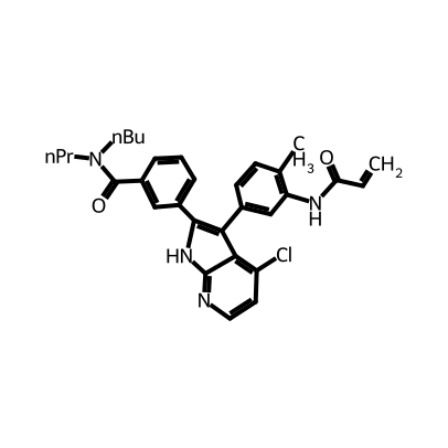 C=CC(=O)Nc1cc(-c2c(-c3cccc(C(=O)N(CCC)CCCC)c3)[nH]c3nccc(Cl)c23)ccc1C